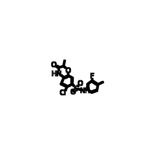 Cc1ccc(NS(=O)(=O)c2cc3c(cc2Cl)NC(=O)C(C)O3)cc1F